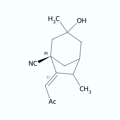 CC(=O)/C=C1\C(C)C2CC(C)(O)C[C@]1(C#N)C2